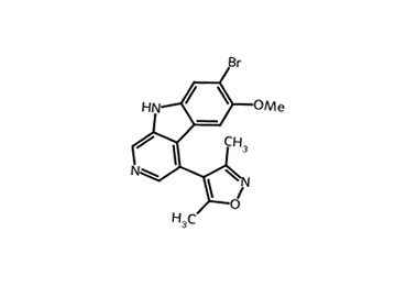 COc1cc2c(cc1Br)[nH]c1cncc(-c3c(C)noc3C)c12